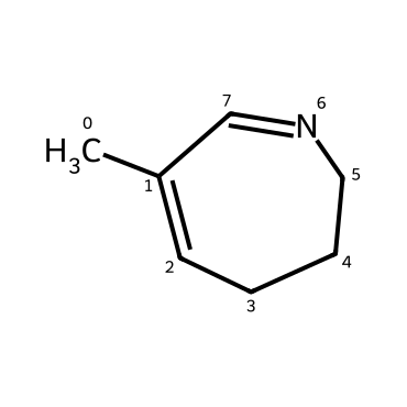 CC1=CCCCN=C1